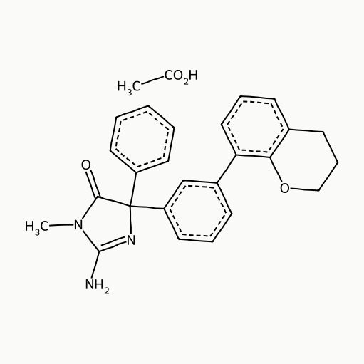 CC(=O)O.CN1C(=O)C(c2ccccc2)(c2cccc(-c3cccc4c3OCCC4)c2)N=C1N